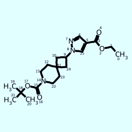 CCOC(=O)c1cnn(C2CC3(CCN(C(=O)OC(C)(C)C)CC3)C2)c1